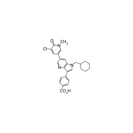 Cn1cc(-c2cnc3c(-c4ccc(C(=O)O)cc4)cn(CC4CCCCC4)c3c2)cc(Cl)c1=O